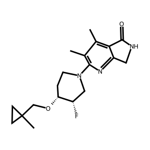 Cc1c(N2CC[C@@H](OCC3(C)CC3)[C@@H](F)C2)nc2c(c1C)C(=O)NC2